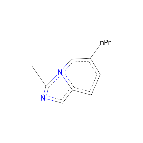 CCCc1ccc2cnc(C)n2c1